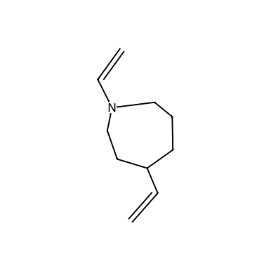 C=CC1CCCN(C=C)CC1